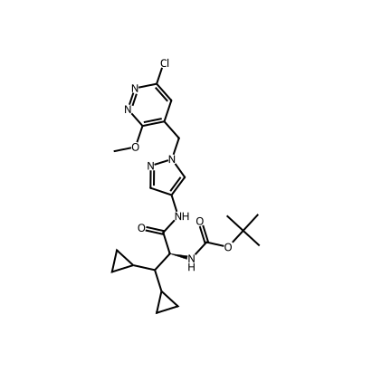 COc1nnc(Cl)cc1Cn1cc(NC(=O)[C@@H](NC(=O)OC(C)(C)C)C(C2CC2)C2CC2)cn1